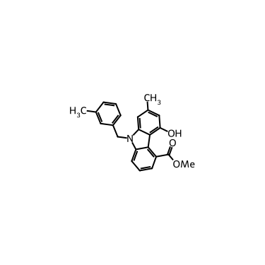 COC(=O)c1cccc2c1c1c(O)cc(C)cc1n2Cc1cccc(C)c1